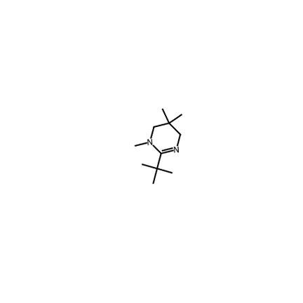 CN1CC(C)(C)CN=C1C(C)(C)C